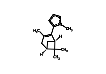 CC1=C(c2cccn2C)[C@@H]2C[C@H](C1)C2(C)C